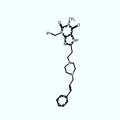 CC(C)Cn1c(=O)n(C)c(=O)c2[nH]c(CCN3CCN(C/C=C/c4ccccc4)CC3)nc21